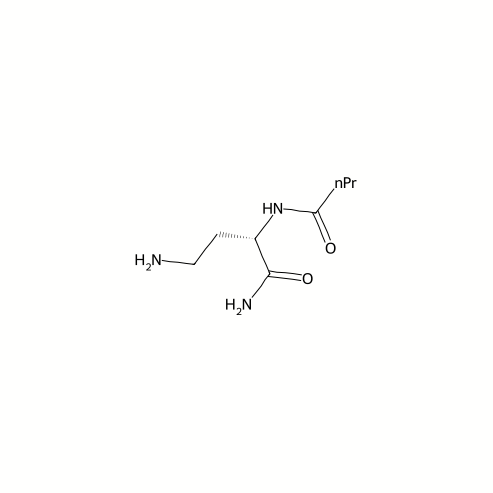 CCCC(=O)N[C@@H](CCN)C(N)=O